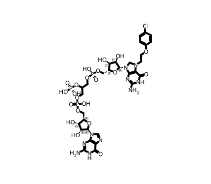 Nc1nc2c(c(=O)[nH]1)N(CCOc1ccc(Cl)cc1)CN2[C@@H]1O[C@H](COP(=O)(O)OCC(COP(=O)(O)OC[C@H]2O[C@@H](n3cnc4c(=O)[nH]c(N)nc43)[C@H](O)[C@@H]2O)OP(=O)(O)O)[C@@H](O)[C@H]1O